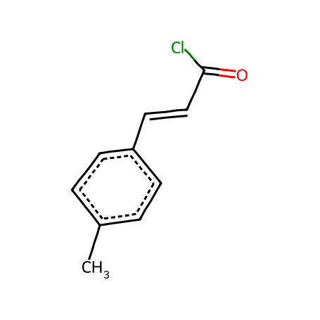 Cc1ccc(C=CC(=O)Cl)cc1